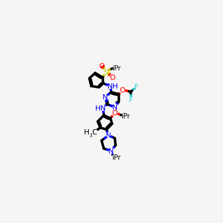 Cc1cc(Nc2ncc(OC(F)F)c(Nc3ccccc3S(=O)(=O)C(C)C)n2)c(OC(C)C)cc1N1CCN(C(C)C)CC1